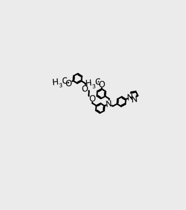 COc1cccc(COCCOCc2cccc(N(Cc3ccc(-n4cccn4)cc3)Cc3cccc(OC)c3)c2)c1